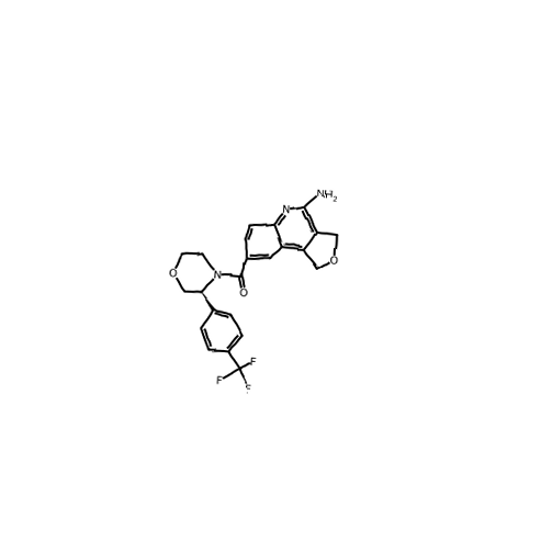 Nc1nc2ccc(C(=O)N3CCOC[C@@H]3c3ccc(C(F)(F)F)cc3)cc2c2c1COC2